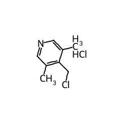 Cc1cncc(C)c1CCl.Cl